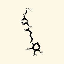 CCCc1c(OCCCC(=O)Nc2nnc(SCC(=O)O)s2)ccc(C(C)=O)c1O